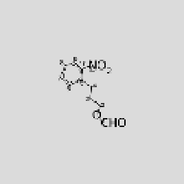 O=COCCCc1ccccc1[N+](=O)[O-]